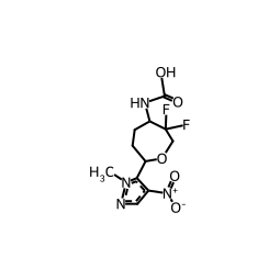 Cn1ncc([N+](=O)[O-])c1C1CCC(NC(=O)O)C(F)(F)CO1